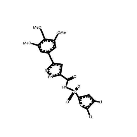 COc1cc(-c2cc(C(=O)NS(=O)(=O)c3cc(Cl)c(Cl)s3)[nH]n2)cc(OC)c1OC